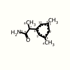 Cc1cc(C)cc(C(C)C(N)=O)c1